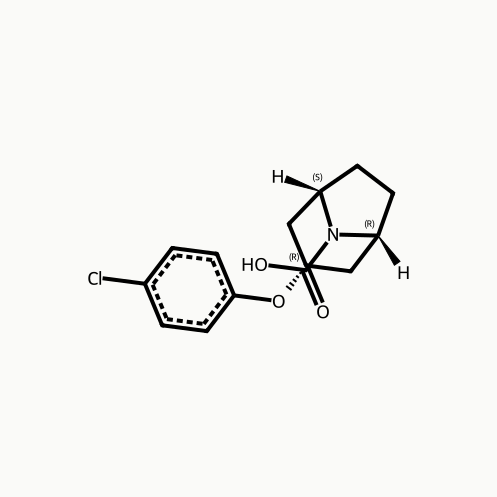 O=C(O)N1[C@@H]2CC[C@H]1C[C@@H](Oc1ccc(Cl)cc1)C2